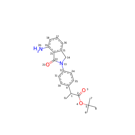 CC(C(=O)OC(C)(C)C)c1ccc(N2Cc3cccc(N)c3C2=O)cc1